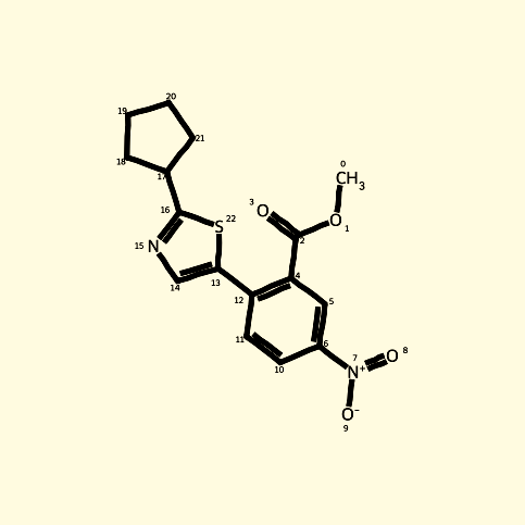 COC(=O)c1cc([N+](=O)[O-])ccc1-c1cnc(C2CCCC2)s1